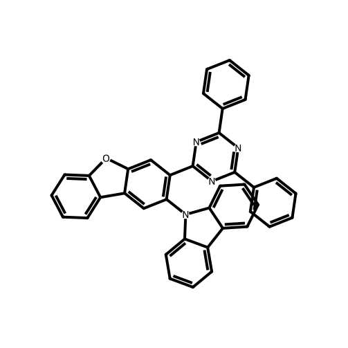 c1ccc(-c2nc(-c3ccccc3)nc(-c3cc4oc5ccccc5c4cc3-n3c4ccccc4c4ccccc43)n2)cc1